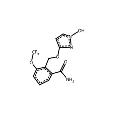 NC(=O)c1cccc(OC(F)(F)F)c1COc1ccn(O)n1